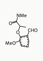 CNC(=O)C(C)Oc1c(C=O)cccc1OC